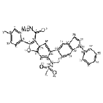 CNC(=O)c1c(-c2ccc(C)cc2)oc2cc(N(C)S(C)(=O)=O)c(-c3ccc4c(ccn4-c4ccccc4)c3)cc12